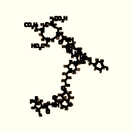 Cc1ccc(/C=N/NCN/N=C/CC(/C=N\NCCC(=O)N2CCN(CCCCOc3ccc4nccc(C(=O)NCC(=O)C5CC(F)(F)C[C@@H]5C)c4c3)CC2)NC(=O)CN2CCN(CC(=O)O)CCN(CC(=O)O)CCN(CC(=O)O)CC2)cc1